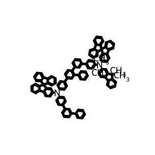 Cc1cc(-c2cccc(-c3ccc(-c4ccc(N(c5ccc(-c6cccc(-c7ccccc7)c6)cc5)c5ccc6c(c5)C5(c7ccccc7-c7ccccc75)c5ccccc5-6)cc4)cc3-c3ccccc3)c2)cc(C)c1N(c1ccc2c(c1)C(C)(C)c1ccccc1-2)c1ccc2c(c1)C1(c3ccccc3-c3ccccc31)c1ccccc1-2